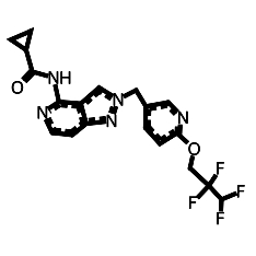 O=C(Nc1nccc2nn(Cc3ccc(OCC(F)(F)C(F)F)nc3)cc12)C1CC1